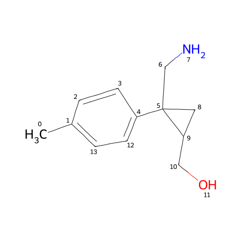 Cc1ccc(C2(CN)CC2CO)cc1